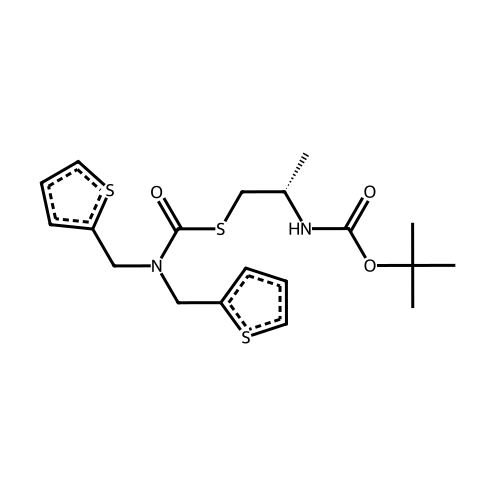 C[C@@H](CSC(=O)N(Cc1cccs1)Cc1cccs1)NC(=O)OC(C)(C)C